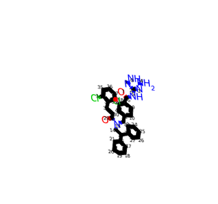 N=N/C(=N\N)NC(=O)c1ccc(CN(CC(c2ccccc2)c2ccccc2)C(=O)/C=C/c2c(Cl)cccc2Cl)cc1